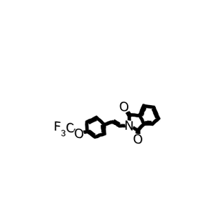 O=C1c2ccccc2C(=O)N1C=Cc1ccc(OC(F)(F)F)cc1